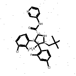 CC(C)(C)C[C@@H]1N[C@@H](C(=O)Nc2cccnc2)[C@H](c2cccc(Cl)c2F)[C@@]1(N)c1ccc(Cl)cc1F